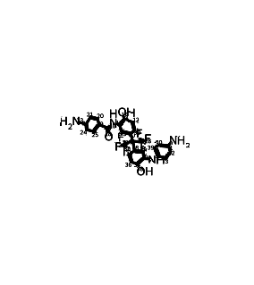 Nc1ccc(Nc2cc(C(c3ccc(O)c(NC(=O)c4ccc(N)cc4)c3)(C(F)(F)F)C(F)(F)F)ccc2O)cc1